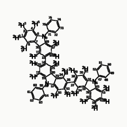 [2H]c1c([2H])c([2H])c2c(c1[2H])c1c([2H])c(-c3c([2H])c([2H])c4c(c3[2H])c3c([2H])c(-c5c([2H])c([2H])c6c(c5[2H])c5c([2H])c([2H])c([2H])c([2H])c5n6-c5ccccc5)c([2H])c([2H])c3n4-c3ccccc3)c([2H])c([2H])c1n2-c1ccccc1